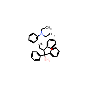 BC(c1ccccc1)(c1ccccc1)C(CC)c1ccccc1.CCN(CC)c1ccccc1